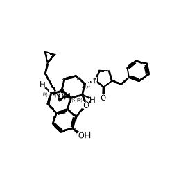 O=C1C(Cc2ccccc2)CCN1[C@H]1CCC2(O)[C@H]3Cc4ccc(O)c5c4[C@@]2(CCN3CC2CC2)[C@H]1O5